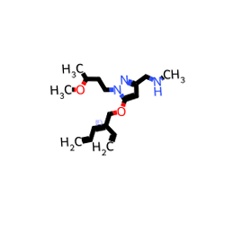 C=C/C=C(\C=C)COc1cc(CNC)nn1CCC(C)OC